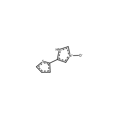 [O-][n+]1c[nH]c(-c2cccs2)c1